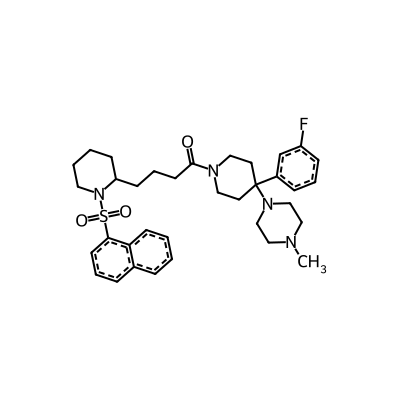 CN1CCN(C2(c3cccc(F)c3)CCN(C(=O)CCCC3CCCCN3S(=O)(=O)c3cccc4ccccc34)CC2)CC1